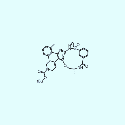 Cc1cccc(C)c1-c1nc2nc(c1C1=CCN(C(=O)OC(C)(C)C)CC1)OC[C@@H](C)NC(=O)c1cccc(c1)S(=O)(=O)N2